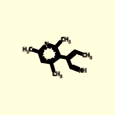 C/C=C(\C=N)c1c(C)cc(C)nc1C